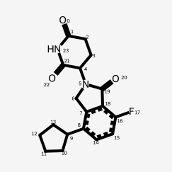 O=C1CCC(N2Cc3c(C4CCCC4)ccc(F)c3C2=O)C(=O)N1